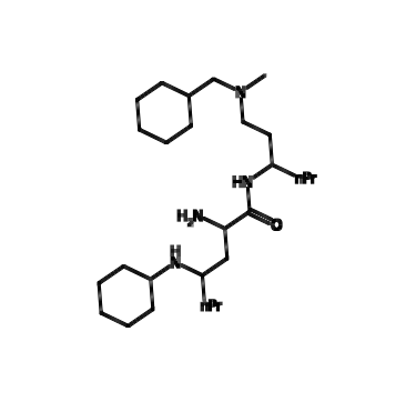 CCCC(CCN(C)CC1CCCCC1)NC(=O)C(N)CC(CCC)NC1CCCCC1